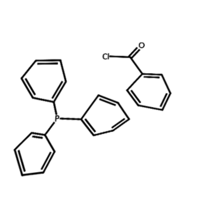 O=C(Cl)c1ccccc1.c1ccc(P(c2ccccc2)c2ccccc2)cc1